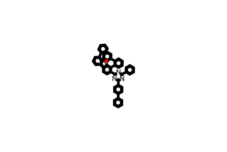 c1ccc(-c2ccc(-c3nc(-c4ccccc4)nc(-c4ccc5c(oc6c(-c7ccccc7)cccc65)c4-c4ccccc4-c4ccccc4)n3)cc2)cc1